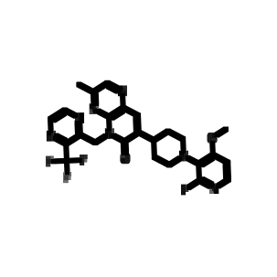 COc1ccnc(F)c1N1CCC(c2cc3ncc(C)nc3n(Cc3nccnc3C(F)(F)F)c2=O)CC1